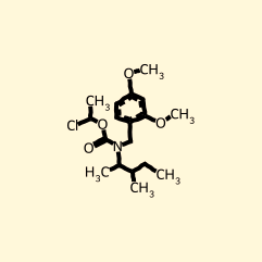 CCC(C)C(C)N(Cc1ccc(OC)cc1OC)C(=O)OC(C)Cl